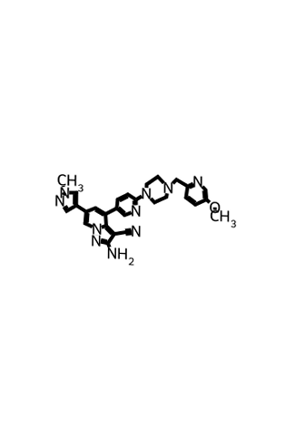 COc1ccc(CN2CCN(c3ccc(-c4cc(-c5cnn(C)c5)cn5nc(N)c(C#N)c45)cn3)CC2)nc1